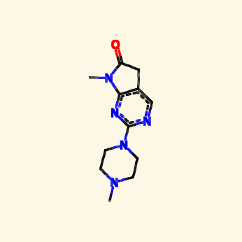 CN1CCN(c2ncc3c(n2)N(C)C(=O)C3)CC1